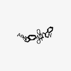 CC(=O)N1CCc2cc(N3C(=O)N(Cc4ccnc5ccccc45)C(C)(C)C3=O)ccc21